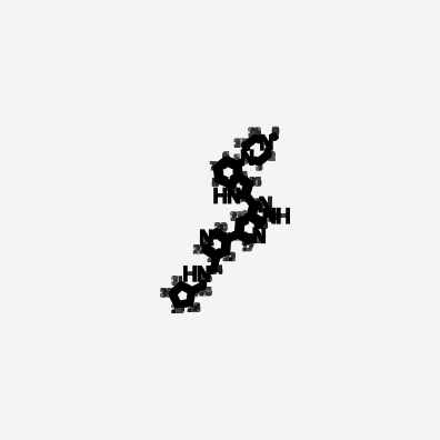 CN1CCN(c2cccc3[nH]c(-c4n[nH]c5ncc(-c6cncc(CNCC7CCCC7)c6)cc45)cc23)CC1